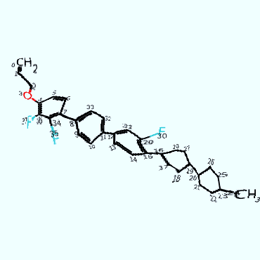 C=CCOc1ccc(-c2ccc(-c3ccc(C4CCC(C5CCC(C)CC5)CC4)c(F)c3)cc2)c(F)c1F